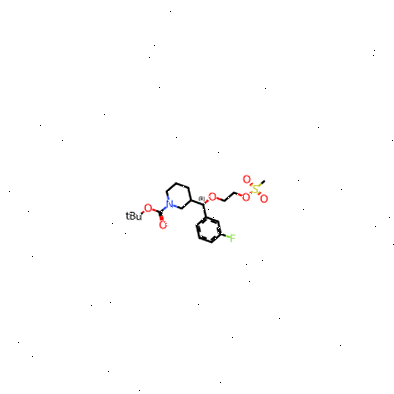 CC(C)(C)OC(=O)N1CCCC([C@@H](OCCOS(C)(=O)=O)c2cccc(F)c2)C1